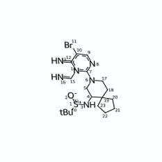 CC(C)(C)[S@@+]([O-])NC1CN(c2ncc(Br)c(=N)n2C=N)CCC12CCCC2